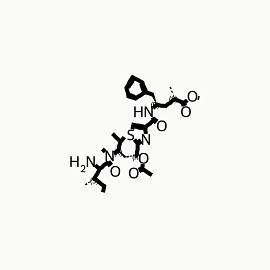 CC[C@H](C)C(N)C(=O)N(C)[C@H](C[C@@H](OC(C)=O)c1nc(C(=O)N[C@@H](Cc2ccccc2)C[C@H](C)C(=O)OC)cs1)C(C)C